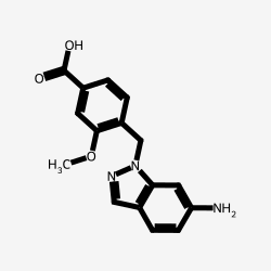 COc1cc(C(=O)O)ccc1Cn1ncc2ccc(N)cc21